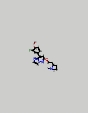 COc1ccc(-c2cc(OCCC3CCCN3C)nn3ccnc23)cc1F